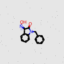 O=C1/C(=N\O)c2ccccc2N1Cc1ccccc1